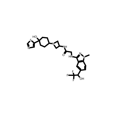 Cn1nc(NCC(=O)NC2CN(C3CCC(O)(c4cncs4)CC3)C2)c2cc(C(O)C(F)(F)F)ccc21